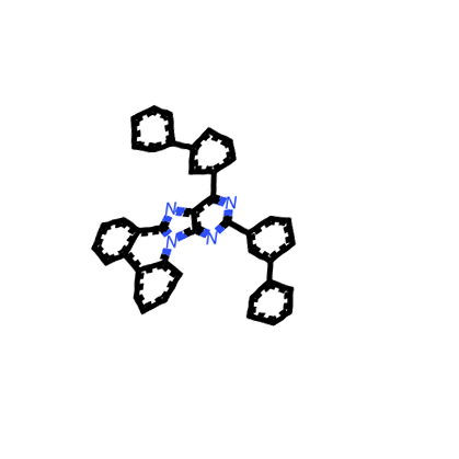 c1ccc(-c2cccc(-c3nc(-c4cccc(-c5ccccc5)c4)c4nc5c6ccccc6c6ccccc6n5c4n3)c2)cc1